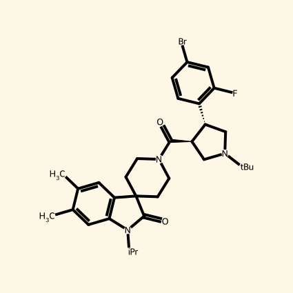 Cc1cc2c(cc1C)C1(CCN(C(=O)[C@@H]3CN(C(C)(C)C)C[C@H]3c3ccc(Br)cc3F)CC1)C(=O)N2C(C)C